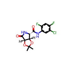 CC1(C)O[C@H]2[C@@H](C(=O)Nc3cc(Cl)c(F)cc3F)NC(=O)[C@H]2O1